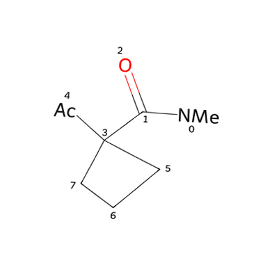 CNC(=O)C1(C(C)=O)CCC1